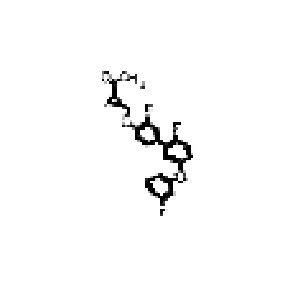 CC(=O)C1CC1COc1ccc(-c2cc(Oc3cccc(F)c3)ccc2F)cc1F